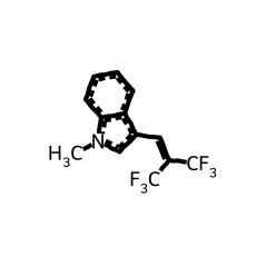 Cn1cc(C=C(C(F)(F)F)C(F)(F)F)c2ccccc21